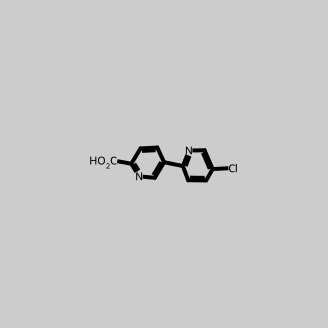 O=C(O)c1ccc(-c2ccc(Cl)cn2)cn1